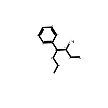 CCCC(c1ccccc1)C(O)CC